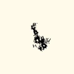 CC1(Oc2ccc3[nH]nc(C4C=C(N5CCN(C6CC[S+]([O-])C6)CC5)N=CN4)c3c2)CC1